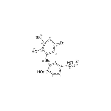 CCCCCCCCc1ccc(O)cc1.CCc1cc(C(C)(C)C)c(O)c(C(C)(C)C)c1.Cl.[Zr]